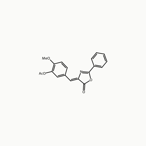 COc1ccc(/C=C2\N=C(c3ccccc3)OC2=O)cc1OC(C)=O